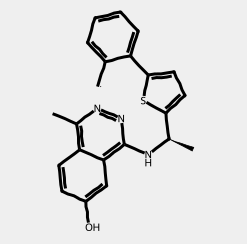 [CH2]c1ccccc1-c1ccc([C@@H](C)Nc2nnc(C)c3ccc(O)cc23)s1